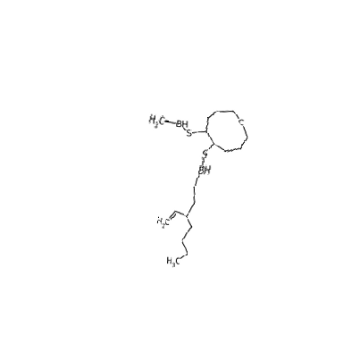 C=CC(CCBSC1CCCCCCCC1SBC)CCCC